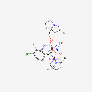 CC(C)(C)OC(=O)N1[C@@H]2CC[C@H]1CN(c1c([N+](=O)[O-])c(OC[C@@]34CCCN3C[C@H](F)C4)nc3c(F)c(Br)ccc13)C2